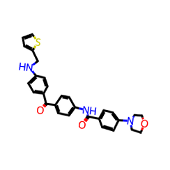 O=C(Nc1ccc(C(=O)c2ccc(NCc3cccs3)cc2)cc1)c1ccc(N2CCOCC2)cc1